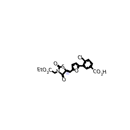 CCOC(=O)CN1C(=O)S/C(=C\c2ccc(-c3cc(C(=O)O)ccc3Cl)o2)C1=O